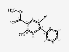 COC(=O)c1cc(F)c(-c2ccccc2)nc1Cl